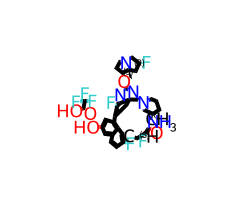 C[C@@]12CCCN(C1)c1nc(OC[C@@]34CCCN3C[C@H](F)C4)nc3c(F)c(ccc13)-c1cc(O)cc3ccc(F)c(c13)CC[C@H](F)C(=O)N2.O=C(O)C(F)(F)F